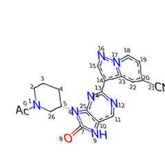 CC(=O)N1CCC[C@H](n2c(=O)[nH]c3cnc(-c4cnn5ccc(C#N)cc45)nc32)C1